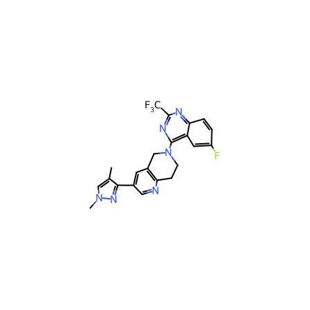 Cc1cn(C)nc1-c1cnc2c(c1)CN(c1nc(C(F)(F)F)nc3ccc(F)cc13)CC2